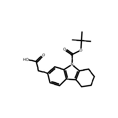 CC(C)(C)OC(=O)n1c2c(c3ccc(CC(=O)O)cc31)CCCC2